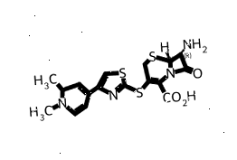 CC1C=C(c2csc(SC3=C(C(=O)O)N4C(=O)[C@@H](N)[C@H]4SC3)n2)C=CN1C